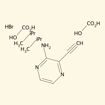 Br.C#Cc1nccnc1N.CC(C)C.CC(C)C.O=C(O)O.O=C(O)O